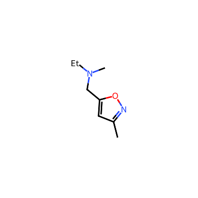 CCN(C)Cc1cc(C)no1